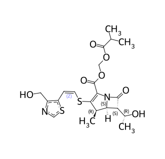 CC(C)C(=O)OCOC(=O)C1=C(S/C=C\c2scnc2CO)[C@H](C)[C@@H]2[C@@H]([C@@H](C)O)C(=O)N12